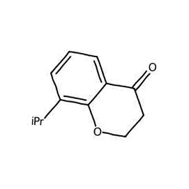 CC(C)c1cccc2c1OCCC2=O